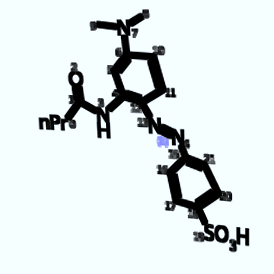 CCCC(=O)Nc1cc(N(C)C)ccc1/N=N/c1ccc(S(=O)(=O)O)cc1